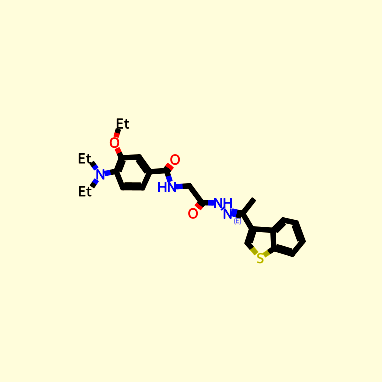 CCOc1cc(C(=O)NCC(=O)N/N=C(\C)c2csc3ccccc23)ccc1N(CC)CC